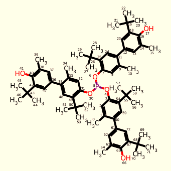 Cc1cc(OP(Oc2cc(C)c(-c3cc(C)c(O)c(C(C)(C)C)c3)cc2C(C)(C)C)Oc2cc(C)c(-c3cc(C)c(O)c(C(C)(C)C)c3)cc2C(C)(C)C)c(C(C)(C)C)cc1-c1cc(C)c(O)c(C(C)(C)C)c1